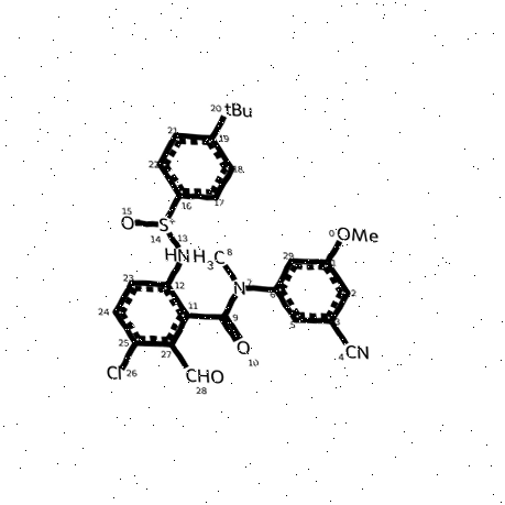 COc1cc(C#N)cc(N(C)C(=O)c2c(N[S+]([O-])c3ccc(C(C)(C)C)cc3)ccc(Cl)c2C=O)c1